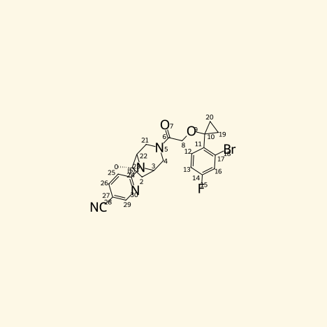 C[C@H]1CC2CN(C(=O)COC3(c4ccc(F)cc4Br)CC3)CC1N2c1ccc(C#N)cn1